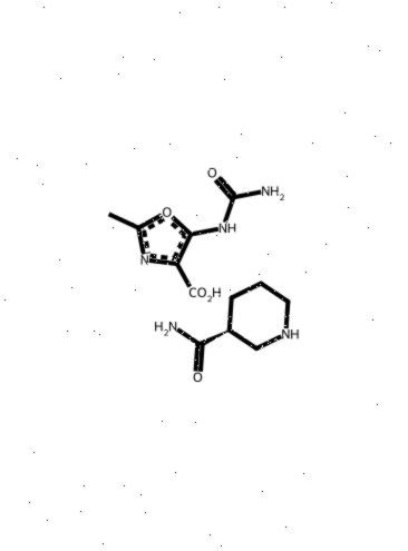 Cc1nc(C(=O)O)c(NC(N)=O)o1.NC(=O)[C@H]1CCCNC1